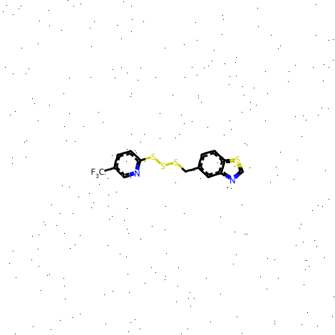 FC(F)(F)c1ccc(SSSCc2ccc3scnc3c2)nc1